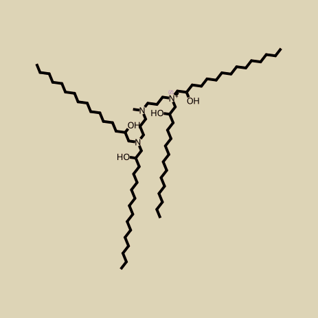 CCCCCCCCCCCCCCC(O)CN(CCCN(C)CCC/[N+](=C/C(O)CCCCCCCCCCCCC)CC(O)CCCCCCCCCCCCC)CC(O)CCCCCCCCCCCCCC